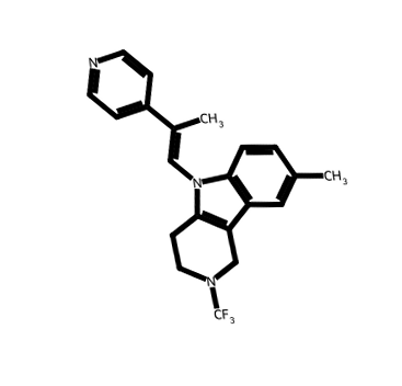 C/C(=C\n1c2c(c3cc(C)ccc31)CN(C(F)(F)F)CC2)c1ccncc1